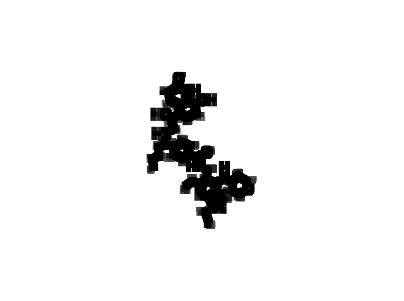 CCCCC(NCC(O)c1ccc(O)c2[nH]c(=O)ccc12)c1ccc(C(=O)NCc2c(CC)nc3c(cnn3CC)c2NC2CCOCC2)cc1